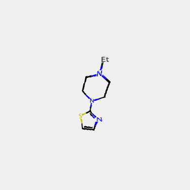 CCN1CCN(c2nccs2)CC1